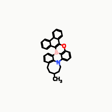 CC1CCc2cccc3c2N(CC1)c1cccc2c1B3c1c(c3ccccc3c3ccccc13)O2